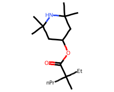 CCCC(C)(CC)C(=O)OC1CC(C)(C)NC(C)(C)C1